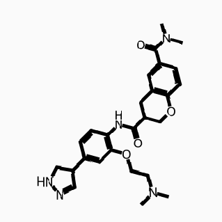 CN(C)CCOc1cc(C2C=NNC2)ccc1NC(=O)C1COc2ccc(C(=O)N(C)C)cc2C1